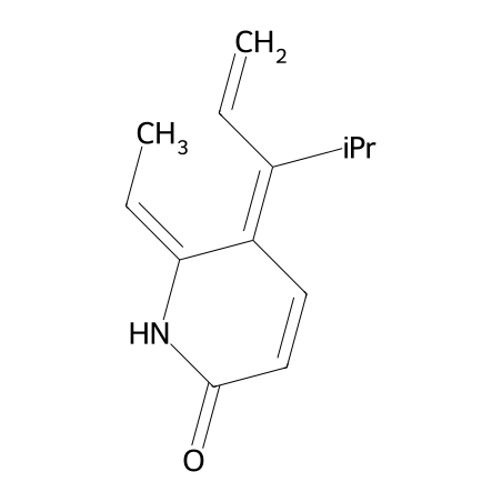 C=C/C(=c1/ccc(=O)[nH]/c1=C/C)C(C)C